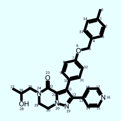 Cc1ccc(COc2ccc(-c3c(-c4ccncc4)nn4c3C(=O)N(CC(C)O)CC4)cc2)cc1